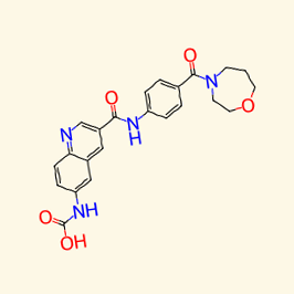 O=C(O)Nc1ccc2ncc(C(=O)Nc3ccc(C(=O)N4CCCOCC4)cc3)cc2c1